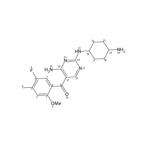 COc1cc(C)c(F)cc1C(=O)c1cnc(NC2CCC(N)CC2)nc1N